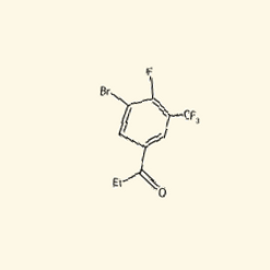 CCC(=O)c1cc(Br)c(F)c(C(F)(F)F)c1